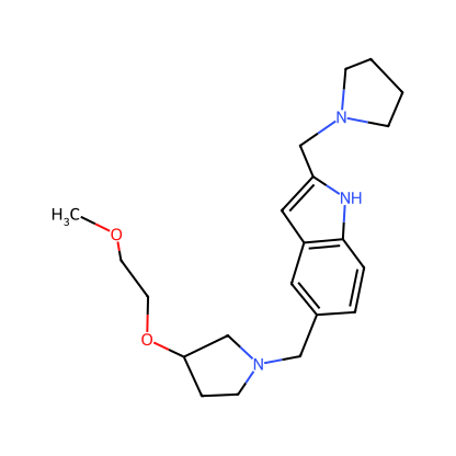 COCCOC1CCN(Cc2ccc3[nH]c(CN4CCCC4)cc3c2)C1